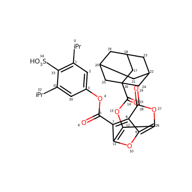 CC(C)c1cc(OC(=O)c2c3c4oc2c(OC(=O)C25CC6CC(CC(C6)C2)C5)c4OC3=O)cc(C(C)C)c1S(=O)(=O)O